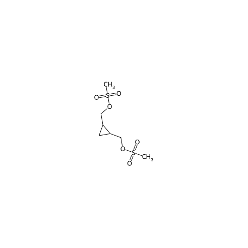 CS(=O)(=O)OCC1CC1COS(C)(=O)=O